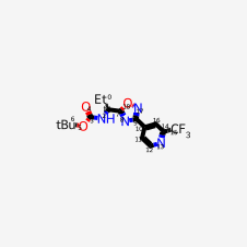 CC[C@H](NC(=O)OC(C)(C)C)c1nc(-c2ccnc(C(F)(F)F)c2)no1